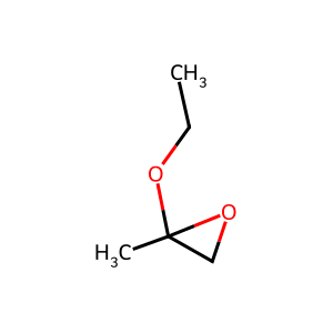 CCOC1(C)CO1